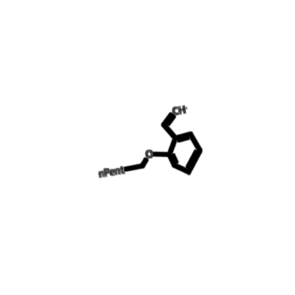 [CH]=Cc1cc[c]cc1OCCCCCC